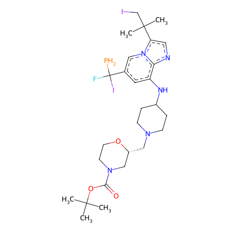 CC(C)(C)OC(=O)N1CCO[C@H](CN2CCC(Nc3cc(C(F)(P)I)cn4c(C(C)(C)CI)cnc34)CC2)C1